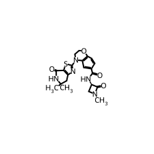 CN1C[C@@H](NC(=O)c2ccc3c(c2)N(c2nc4c(s2)C(=O)NC(C)(C)C4)CCO3)C1=O